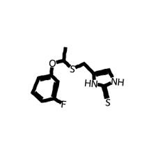 CC(Oc1cccc(F)c1)SCc1c[nH]c(=S)[nH]1